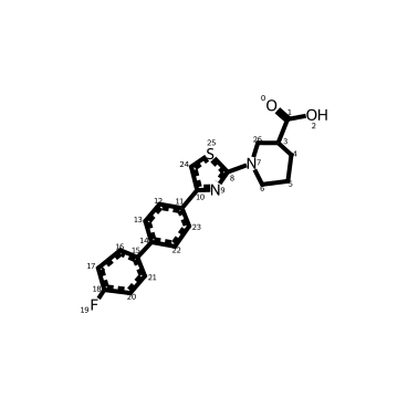 O=C(O)C1CCCN(c2nc(-c3ccc(-c4ccc(F)cc4)cc3)cs2)C1